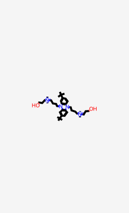 CC(C)(C)c1ccc2c(c1)N(CCCC[N+](C)(C)CCCO)c1cc(C(C)(C)C)ccc1N2CCCC[N+](C)(C)CCCO